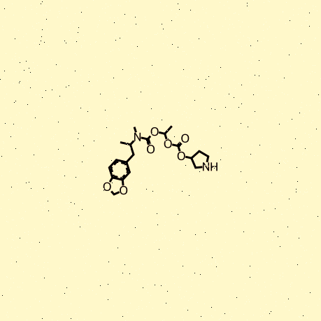 CC(OC(=O)OC1CCNC1)OC(=O)N(C)C(C)Cc1ccc2c(c1)OCO2